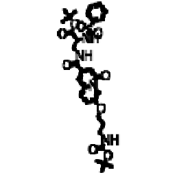 CC(C)(C)OC(=O)NCCCOc1ccc2cc(C(=O)NCC(NS(=O)(=O)c3ccccc3)C(=O)OC(C)(C)C)cc(=O)n2c1